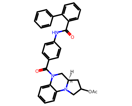 CC(=O)OC1C[C@@H]2CN(C(=O)c3ccc(NC(=O)c4ccccc4-c4ccccc4)cc3)c3ccccc3N2C1